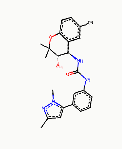 Cc1cc(-c2cccc(NC(=O)N[C@@H]3c4cc(C#N)ccc4OC(C)(C)[C@H]3O)c2)n(C)n1